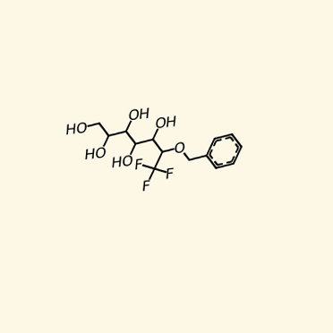 OCC(O)C(O)C(O)C(O)C(OCc1ccccc1)C(F)(F)F